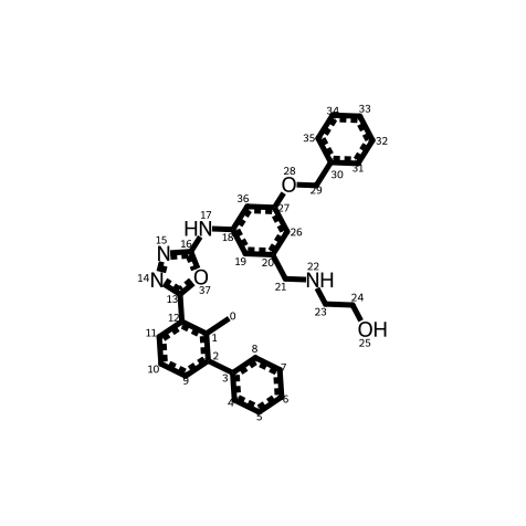 Cc1c(-c2ccccc2)cccc1-c1nnc(Nc2cc(CNCCO)cc(OCc3ccccc3)c2)o1